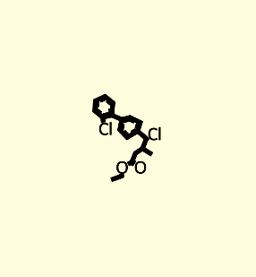 CCOC(=O)CC(C)C(Cl)c1ccc(-c2ccccc2Cl)cc1